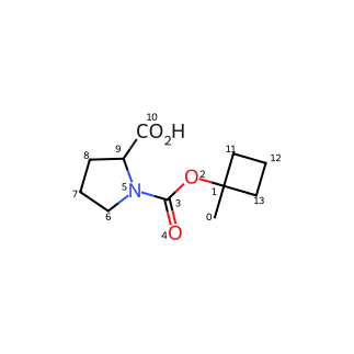 CC1(OC(=O)N2CCCC2C(=O)O)CCC1